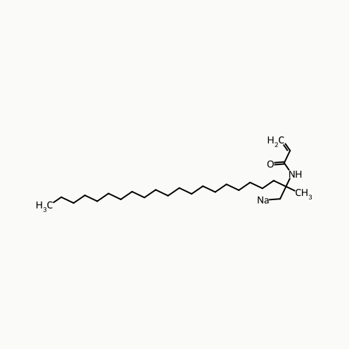 C=CC(=O)NC(C)([CH2][Na])CCCCCCCCCCCCCCCCCCCC